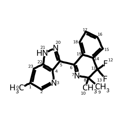 Cc1cnc2c(C3=NC(C)(C)C(F)(F)c4ccccc43)n[nH]c2c1